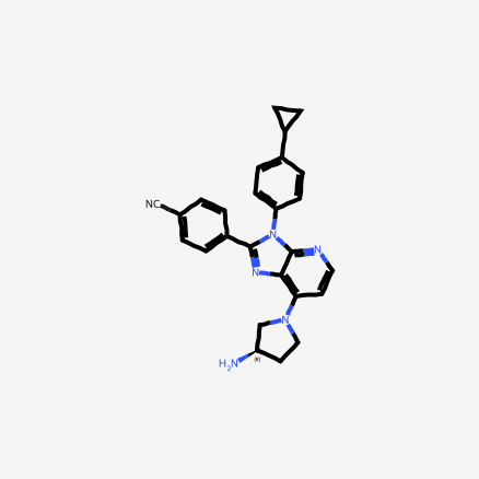 N#Cc1ccc(-c2nc3c(N4CC[C@@H](N)C4)ccnc3n2-c2ccc(C3CC3)cc2)cc1